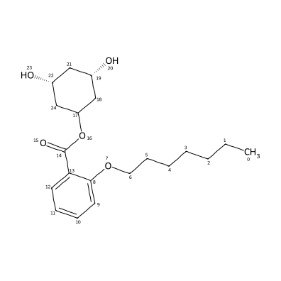 CCCCCCCOc1ccccc1C(=O)OC1C[C@@H](O)C[C@@H](O)C1